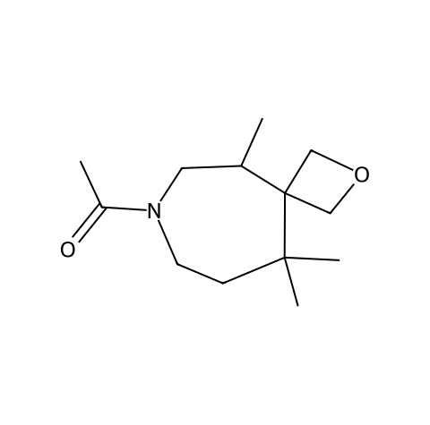 CC(=O)N1CCC(C)(C)C2(COC2)C(C)C1